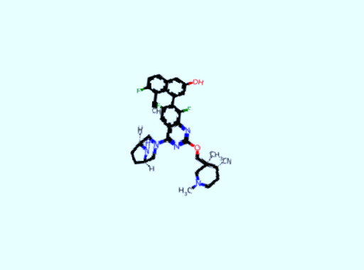 C#Cc1c(F)ccc2cc(O)cc(-c3c(F)cc4c(N5C[C@H]6CC[C@@H](C5)N6)nc(OC[C@]5(C)CN(C)CC[C@H]5C#N)nc4c3F)c12